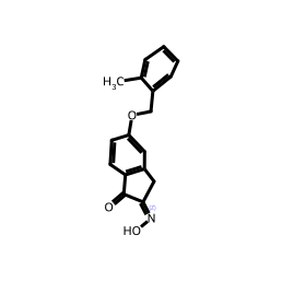 Cc1ccccc1COc1ccc2c(c1)C/C(=N/O)C2=O